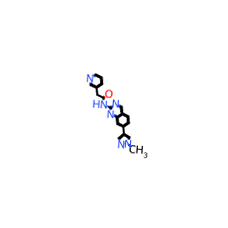 Cn1cc(-c2ccc3cnc(NC(=O)Cc4cccnc4)nc3c2)cn1